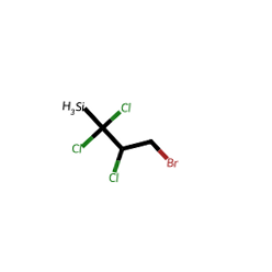 [SiH3]C(Cl)(Cl)C(Cl)CBr